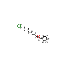 ClCCCCCCCCCOCc1ccccc1